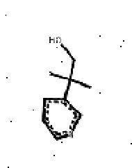 CC(C)(CO)c1[c]nccc1